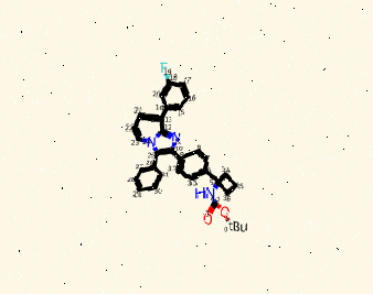 CC(C)(C)OC(=O)NC1(c2ccc(-c3nc4c(-c5cccc(F)c5)cccn4c3-c3ccccc3)cc2)CCC1